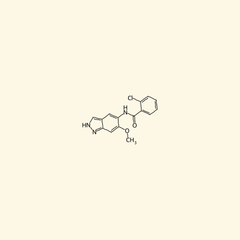 COc1cc2n[nH]cc2cc1NC(=O)c1ccccc1Cl